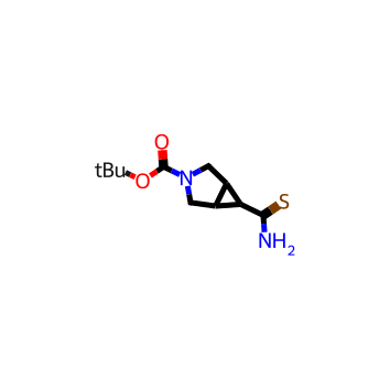 CC(C)(C)OC(=O)N1CC2C(C1)C2C(N)=S